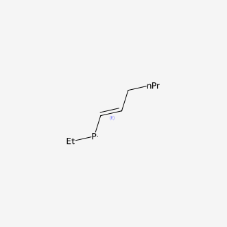 CCCC/C=C/[P]CC